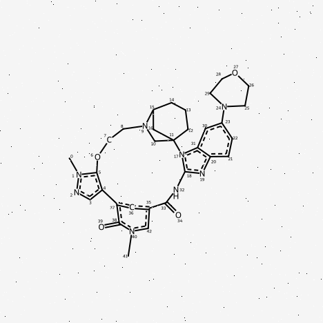 Cn1ncc2c1OCCN1CC3(CCCC1C3)n1c(nc3ccc(N4CCOCC4)cc31)NC(=O)c1cc-2c(=O)n(C)c1